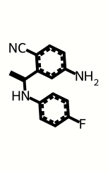 C=C(Nc1ccc(F)cc1)c1cc(N)ccc1C#N